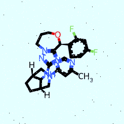 Cc1cc(N2C[C@H]3CC[C@@H](C2)C3Nc2nc3n(n2)CCCO[C@H]3c2ccc(F)cc2F)ncn1